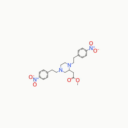 COC(=O)CC1CN(CCc2ccc([N+](=O)[O-])cc2)CCN1CCc1ccc([N+](=O)[O-])cc1